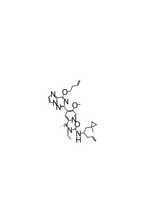 C=CCCOc1nc(-c2cc([C@@H](C)N(CC)C(=O)NC(CC=C)CC3(C)CC3)ncc2OC)nn2ccnc12